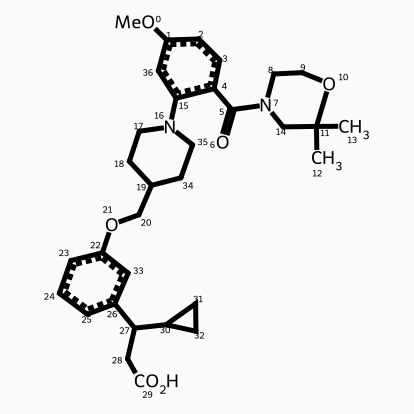 COc1ccc(C(=O)N2CCOC(C)(C)C2)c(N2CCC(COc3cccc(C(CC(=O)O)C4CC4)c3)CC2)c1